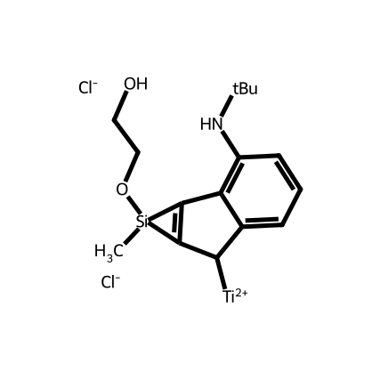 CC(C)(C)Nc1cccc2c1C1=C([CH]2[Ti+2])[Si]1(C)OCCO.[Cl-].[Cl-]